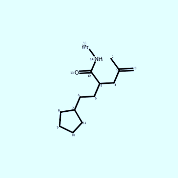 C=C(C)CC(CCC1CCCC1)C(=O)NC(C)C